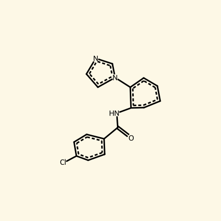 O=C(Nc1ccccc1-n1ccnc1)c1ccc(Cl)cc1